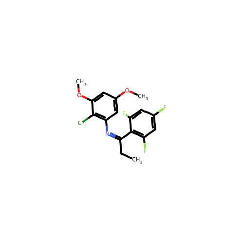 CC/C(=N/c1cc(OC)cc(OC)c1Cl)c1c(F)cc(F)cc1F